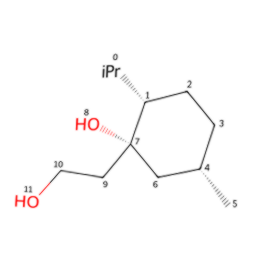 CC(C)[C@@H]1CC[C@H](C)C[C@@]1(O)CCO